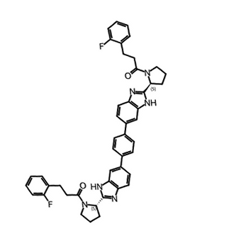 O=C(CCc1ccccc1F)N1CCC[C@H]1c1nc2ccc(-c3ccc(-c4ccc5nc([C@@H]6CCCN6C(=O)CCc6ccccc6F)[nH]c5c4)cc3)cc2[nH]1